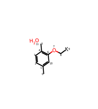 Cc1ccc(C)c(O[CH2][K])c1.O